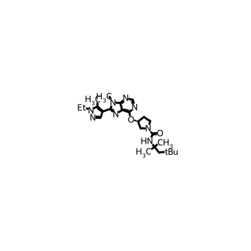 CCn1ncc(-c2nc3c(O[C@H]4CCN(C(=O)NC(C)(C)CC(C)(C)C)C4)ncnc3n2C)c1C